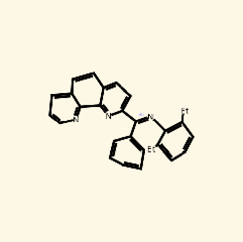 CCc1cccc(CC)c1/N=C(\c1ccccc1)c1ccc2ccc3cccnc3c2n1